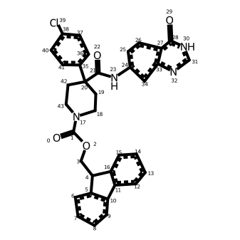 O=C(OCC1c2ccccc2-c2ccccc21)N1CCC(C(=O)Nc2ccc3c(=O)[nH]cnc3c2)(c2ccc(Cl)cc2)CC1